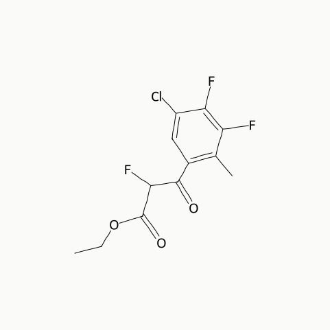 CCOC(=O)C(F)C(=O)c1cc(Cl)c(F)c(F)c1C